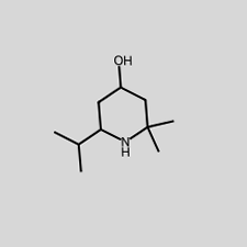 CC(C)C1CC(O)CC(C)(C)N1